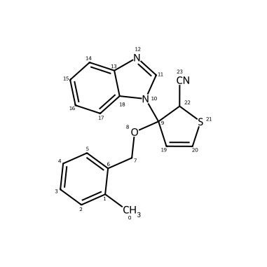 Cc1ccccc1COC1(n2cnc3ccccc32)C=CSC1C#N